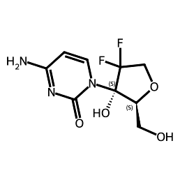 Nc1ccn([C@]2(O)[C@H](CO)OCC2(F)F)c(=O)n1